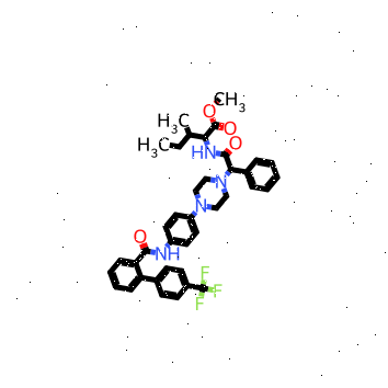 CCC(C)C(NC(=O)C(c1ccccc1)N1CCN(c2ccc(NC(=O)c3ccccc3-c3ccc(C(F)(F)F)cc3)cc2)CC1)C(=O)OC